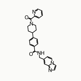 O=C(NCc1ccn2ccnc2c1)c1ccc(C2CCN(C(=O)c3ccccn3)CC2)cc1